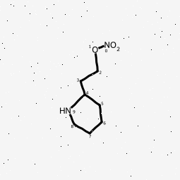 O=[N+]([O-])OCCC1CCCCN1